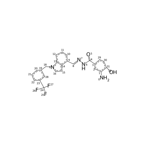 Nc1cc(C(=O)N/N=C/c2cccc3c2ccn3Cc2cccc(C(F)(F)F)c2)ccc1O